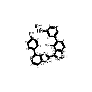 CC(C)Nc1cncc(-c2ccc3[nH]nc(-c4nc5c(-c6ccc(F)cc6)nccc5[nH]4)c3c2F)c1